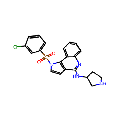 O=S(=O)(c1cccc(Cl)c1)n1ccc2c(NC3CCNC3)nc3ccccc3c21